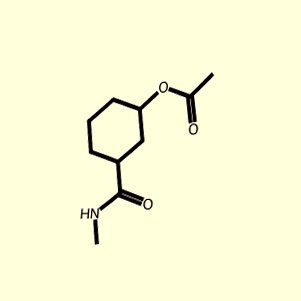 CNC(=O)C1CCCC(OC(C)=O)C1